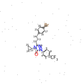 O=c1n(-c2ccc(C(F)(F)F)cc2)nc(CCCc2ccc(Br)cc2)n1C1CC1